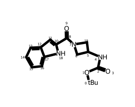 CC(C)(C)OC(=O)NC1CN(C(=O)c2cc3ccccc3[nH]2)C1